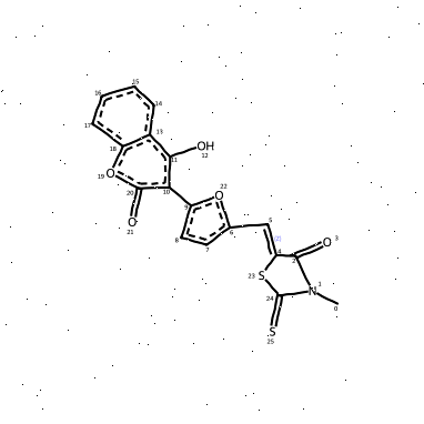 CN1C(=O)/C(=C/c2ccc(-c3c(O)c4ccccc4oc3=O)o2)SC1=S